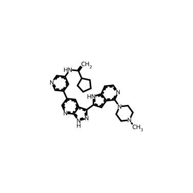 C=C(Nc1cncc(-c2cnc3[nH]nc(-c4cc5c(N6CCN(C)CC6)nccc5[nH]4)c3c2)c1)C1CCCC1